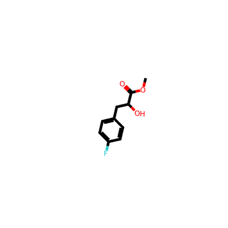 COC(=O)C(O)Cc1ccc(F)cc1